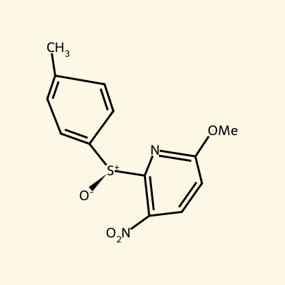 COc1ccc([N+](=O)[O-])c([S@@+]([O-])c2ccc(C)cc2)n1